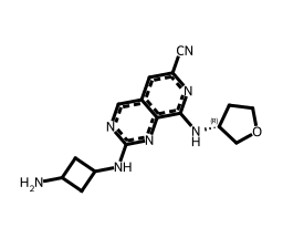 N#Cc1cc2cnc(NC3CC(N)C3)nc2c(N[C@@H]2CCOC2)n1